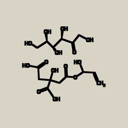 C=CC(O)OC(=O)CC(O)(CC(=O)O)C(=O)O.O=C(CO)[C@H](O)[C@@H](O)[C@H](O)CO